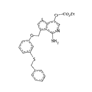 CCOC(=O)Oc1cnc(N)c2c(COc3cccc(SCc4ccccc4)c3)csc12